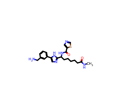 CNC(=O)CCCCCC(NC(=O)c1cncs1)c1ncc(-c2cccc(CN)c2)[nH]1